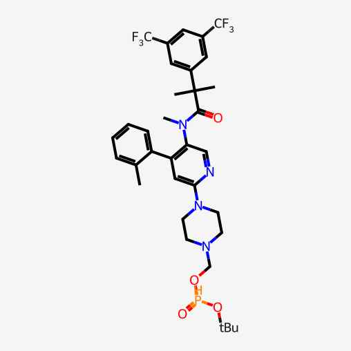 Cc1ccccc1-c1cc(N2CCN(CO[PH](=O)OC(C)(C)C)CC2)ncc1N(C)C(=O)C(C)(C)c1cc(C(F)(F)F)cc(C(F)(F)F)c1